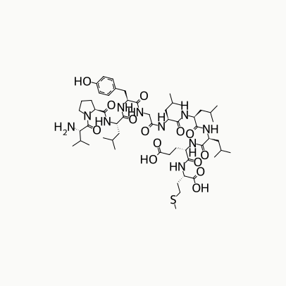 CSCC[C@H](NC(=O)[C@H](CCC(=O)O)NC(=O)[C@H](CC(C)C)NC(=O)[C@H](CC(C)C)NC(=O)[C@H](CC(C)C)NC(=O)CNC(=O)[C@H](Cc1ccc(O)cc1)NC(=O)[C@H](CC(C)C)NC(=O)[C@@H]1CCCN1C(=O)[C@@H](N)C(C)C)C(=O)O